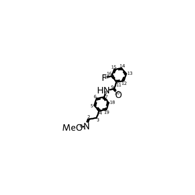 CON=CCc1ccc(NC(=O)c2ccccc2F)cc1